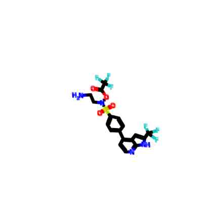 NCCN(OC(=O)C(F)(F)F)S(=O)(=O)c1ccc(-c2ccnc3[nH]c(C(F)(F)F)cc23)cc1